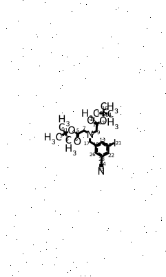 CC(C)(C)OC(=O)CN(CC(=O)OC(C)(C)C)Cc1cc(I)cc(C#N)c1